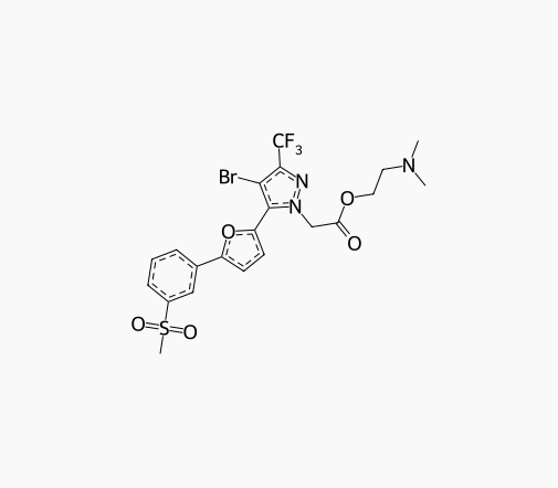 CN(C)CCOC(=O)Cn1nc(C(F)(F)F)c(Br)c1-c1ccc(-c2cccc(S(C)(=O)=O)c2)o1